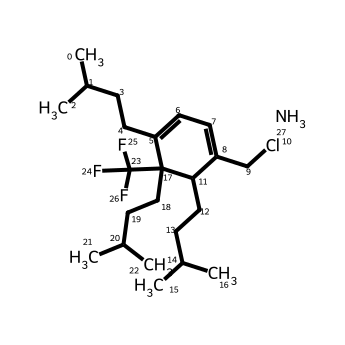 CC(C)CCC1=CC=C(CCl)C(CCC(C)C)C1(CCC(C)C)C(F)(F)F.N